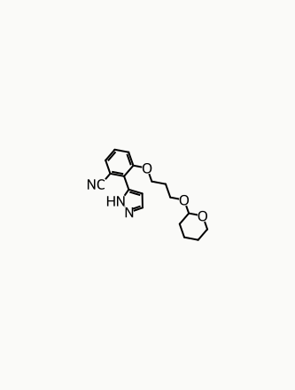 N#Cc1cccc(OCCCOC2CCCCO2)c1-c1ccn[nH]1